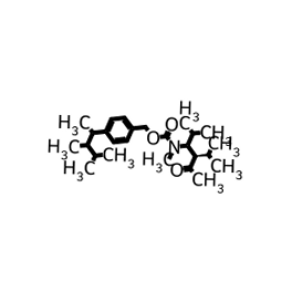 CC(=O)[C@H](C(C)C)C(C(C)C)N(C)C(=O)OCc1ccc(C(C)C(C)C(C)C)cc1